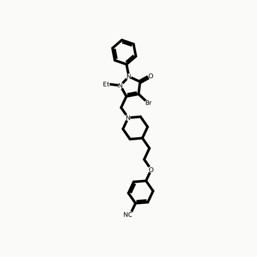 CCn1c(CN2CCC(CCOC3C=CC(C#N)=CC3)CC2)c(Br)c(=O)n1-c1ccccc1